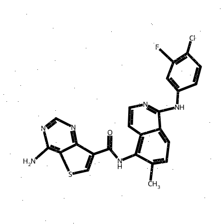 Cc1ccc2c(Nc3ccc(Cl)c(F)c3)nccc2c1NC(=O)c1csc2c(N)ncnc12